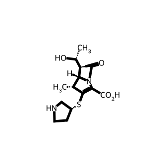 C[C@@H](O)[C@H]1C(=O)N2C(C(=O)O)=C(S[C@@H]3CCNC3)[C@H](C)[C@H]12